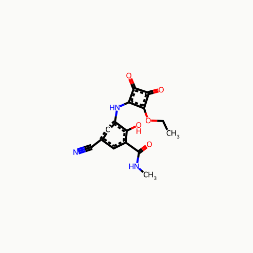 CCOc1c(Nc2cc(C#N)cc(C(=O)NC)c2O)c(=O)c1=O